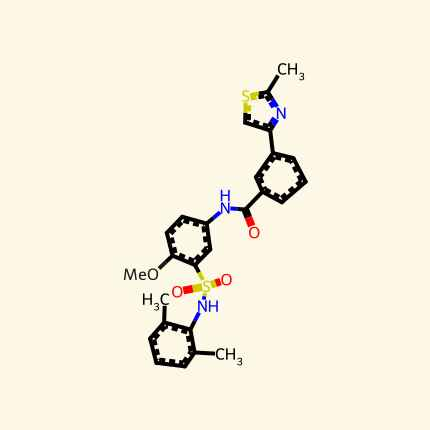 COc1ccc(NC(=O)c2cccc(-c3csc(C)n3)c2)cc1S(=O)(=O)Nc1c(C)cccc1C